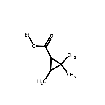 CCOC(=O)C1C(C)C1(C)C